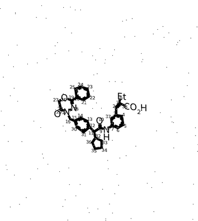 CCC(=Cc1cccc(NC(=O)C(c2ccc(CN3N=C(c4ccccc4)OCC3=O)cc2)C2CCCC2)c1)C(=O)O